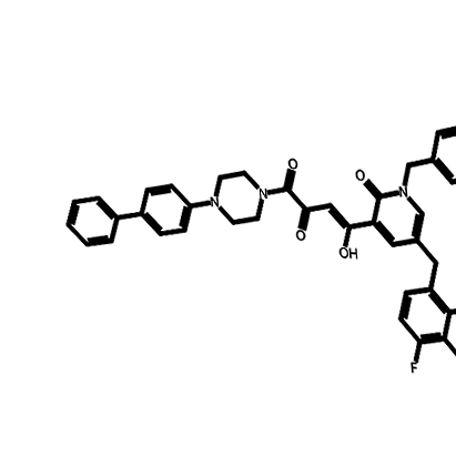 O=C(C=C(O)c1cc(Cc2ccc(F)c(F)c2F)cn(Cc2cccc(F)c2)c1=O)C(=O)N1CCN(c2ccc(-c3ccccc3)cc2)CC1